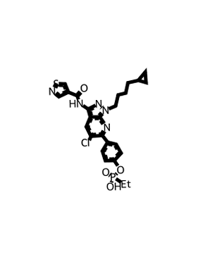 CCP(=O)(O)Oc1ccc(-c2nc3c(cc2Cl)c(NC(=O)c2cnsc2)nn3CCCCC2CC2)cc1